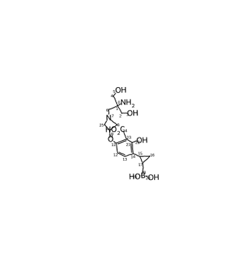 NC(CO)(CO)CN1CC(Oc2ccc(C3CC3B(O)O)c(O)c2C(=O)O)C1